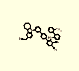 Cc1ccccc1-c1ccccc1NC1=C(c2ccc(-c3cccc(N4C5=C(CC(CC#N)C=C5)C5CCCCCC54)c3)cc2)C=CC(C#N)C1C#N